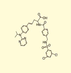 CC(C)N(c1ccc(/C=C/CC(NC(=O)c2ccc(CNS(=O)(=O)c3cc(Cl)cc(Cl)c3)cc2)C(=O)O)cc1)c1ncccn1